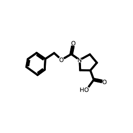 O=C(O)C1CCN(C(=O)OCc2ccccc2)C1